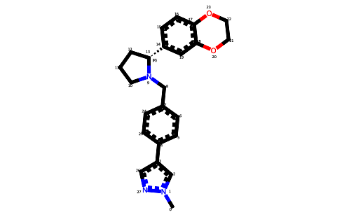 Cn1cc(-c2ccc(CN3CCC[C@@H]3c3ccc4c(c3)OCCO4)cc2)cn1